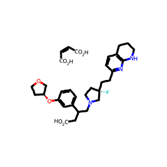 O=C(O)/C=C\C(=O)O.O=C(O)CC(CN1CC[C@@](F)(CCc2ccc3c(n2)NCCC3)C1)c1cccc(O[C@H]2CCOC2)c1